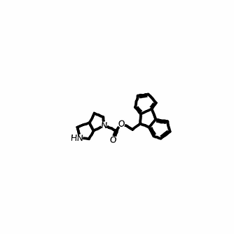 O=C(OCC1c2ccccc2-c2ccccc21)N1CCC2CNCC21